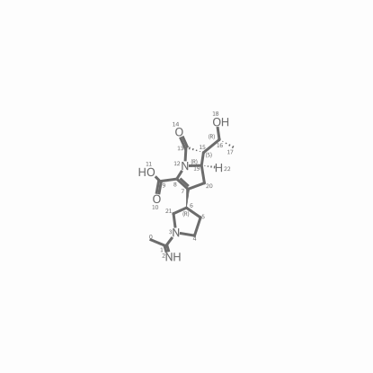 CC(=N)N1CC[C@H](C2=C(C(=O)O)N3C(=O)[C@H]([C@@H](C)O)[C@H]3C2)C1